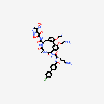 C[C@@H]1NC(=O)C(N(C)C(=O)[C@H](CCCCN)NC(=O)c2ccc(-c3ccc(Cl)cc3)cc2)c2ccc(OCCN)c(c2)-c2cc(ccc2OCCN)CC(C(=O)NC(O)C(=O)c2[nH]ncc2NO)NC1=O